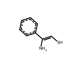 N/C(=C\S)c1ccccc1